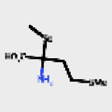 CSCCC(N)([Se]C)C(=O)O